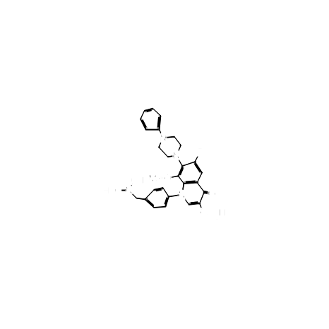 COc1c(N2CCN(c3ccccc3)CC2)c(F)cc2c(=O)c(C(=O)O)cn(-c3ccc(CN(C)C)cc3)c12